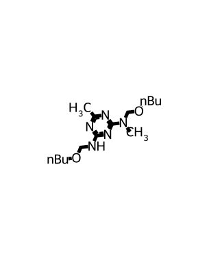 CCCCOCNc1nc(C)nc(N(C)COCCCC)n1